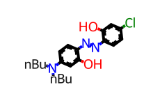 CCCCN(CCCC)c1ccc(N=Nc2ccc(Cl)cc2O)c(O)c1